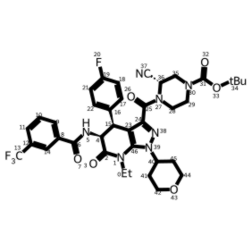 CCN1C(=O)[C@@H](NC(=O)c2cccc(C(F)(F)F)c2)[C@@H](c2ccc(F)cc2)c2c(C(=O)N3CCN(C(=O)OC(C)(C)C)C[C@H]3C#N)nn(C3CCOCC3)c21